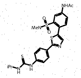 CNS(=O)(=O)c1cc(NC(C)=O)ccc1-c1cnc(-c2ccc(NC(=S)NC(C)C)cc2)s1